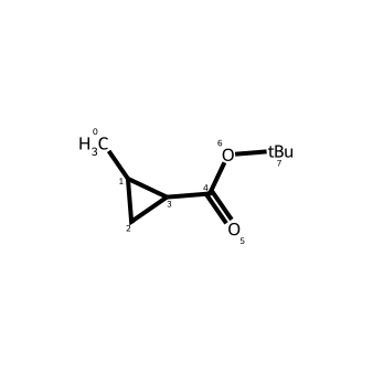 CC1CC1C(=O)OC(C)(C)C